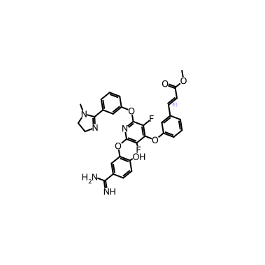 COC(=O)/C=C/c1cccc(Oc2c(F)c(Oc3cccc(C4=NCCN4C)c3)nc(Oc3cc(C(=N)N)ccc3O)c2F)c1